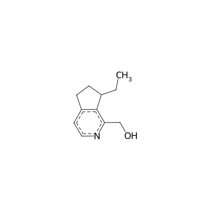 CCC1CCc2ccnc(CO)c21